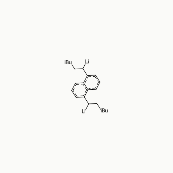 [Li][CH](CC(C)CC)c1cccc2c([CH]([Li])CC(C)CC)cccc12